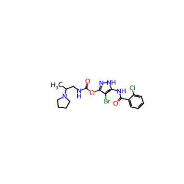 CC(CNC(=O)Oc1n[nH]c(NC(=O)c2ccccc2Cl)c1Br)N1CCCC1